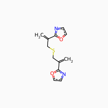 C=C(CSCC(=C)c1ncco1)c1ncco1